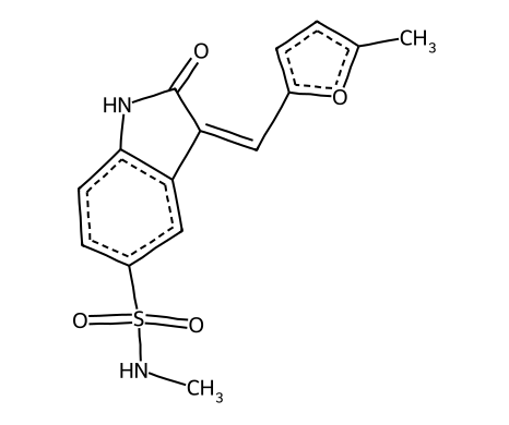 CNS(=O)(=O)c1ccc2c(c1)C(=Cc1ccc(C)o1)C(=O)N2